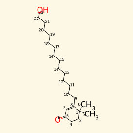 CC1(C)CCC(=O)C=C1CCCCCCCCCCCCCCO